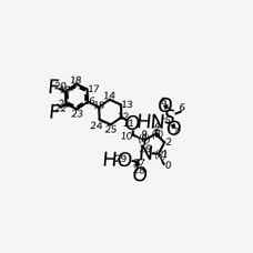 C[C@@H]1C[C@H](NS(C)(=O)=O)[C@H](COC2CCC(c3ccc(F)c(F)c3)CC2)N1C(=O)O